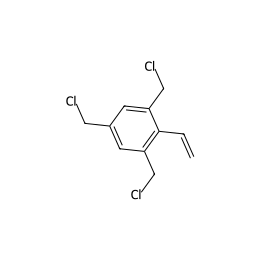 C=Cc1c(CCl)cc(CCl)cc1CCl